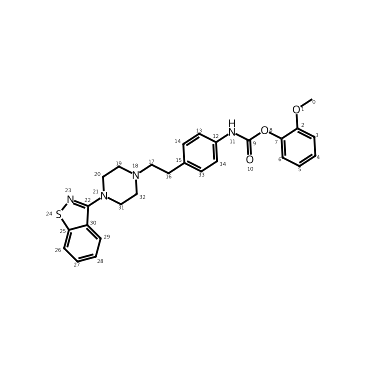 COc1ccccc1OC(=O)Nc1ccc(CCN2CCN(c3nsc4ccccc34)CC2)cc1